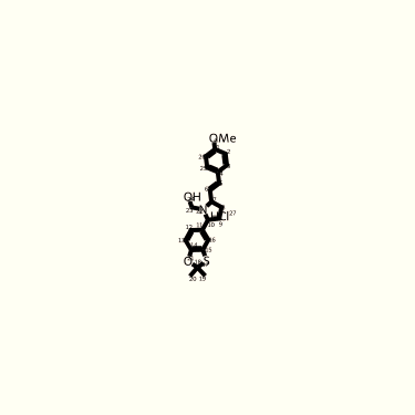 COc1ccc(C=CC2CCC(c3ccc4c(c3)SC(C)(C)O4)N2CO)cc1.Cl